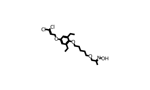 CCc1cc(OCC=C(Cl)Cl)cc(CC)c1OCCCCCOCC(C)=NO